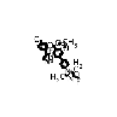 Cc1nc(C(F)F)c(C)n1-c1ccc(C2=CC(S(C)(=O)=O)=C(CO)C(F)(n3nncc3-c3ccc(Cl)cc3)C2)cc1